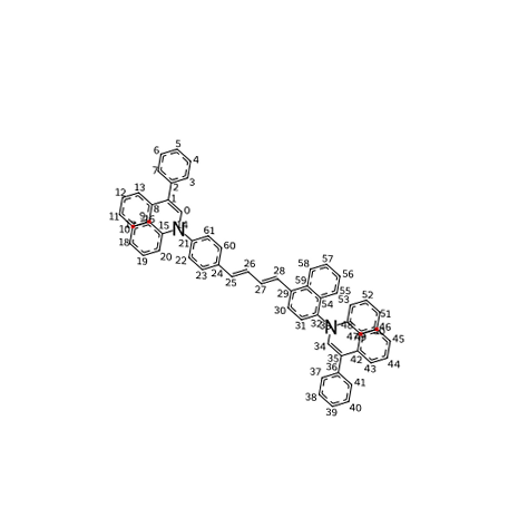 C(=C(c1ccccc1)c1ccccc1)N(c1ccccc1)c1ccc(/C=C/C=C/c2ccc(N(C=C(c3ccccc3)c3ccccc3)c3ccccc3)c3ccccc23)cc1